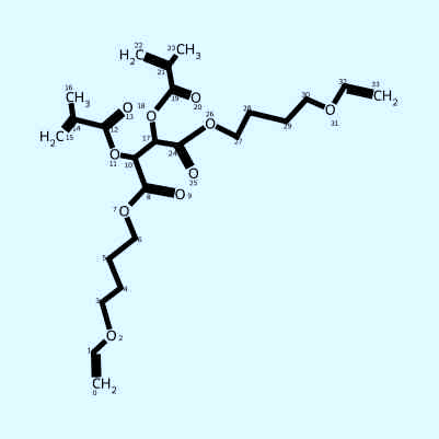 C=COCCCCOC(=O)C(OC(=O)C(=C)C)C(OC(=O)C(=C)C)C(=O)OCCCCOC=C